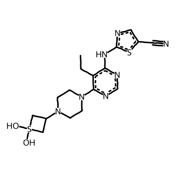 CCc1c(Nc2ncc(C#N)s2)ncnc1N1CCN(C2CS(O)(O)C2)CC1